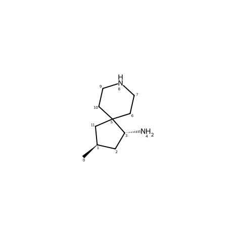 C[C@@H]1C[C@@H](N)C2(CCNCC2)C1